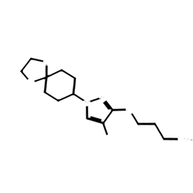 CSCCCOc1nn(C2CCC3(CC2)OCCO3)cc1C(=O)O